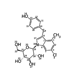 Cc1cc(Cl)cc2c1c(Sc1ccc(O)cc1)cn2[C@@H]1O[C@H](CO)[C@@H](O)[C@H](O)[C@H]1O